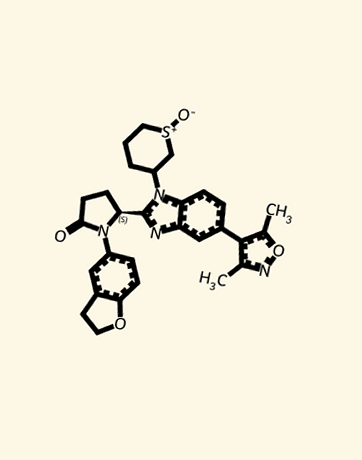 Cc1noc(C)c1-c1ccc2c(c1)nc([C@@H]1CCC(=O)N1c1ccc3c(c1)CCO3)n2C1CCC[S+]([O-])C1